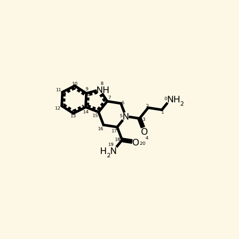 NCCC(=O)N1Cc2[nH]c3ccccc3c2CC1C(N)=O